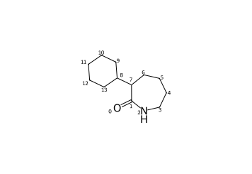 O=C1NCCCCC1C1CCCCC1